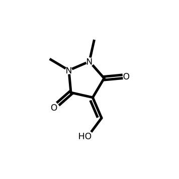 CN1C(=O)C(=CO)C(=O)N1C